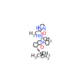 Cc1nn2cccnc2c1C(=O)N[C@@H](C)c1cc2cccc(C#C[Si](C)(C)C)c2c(=O)n1-c1ccccc1